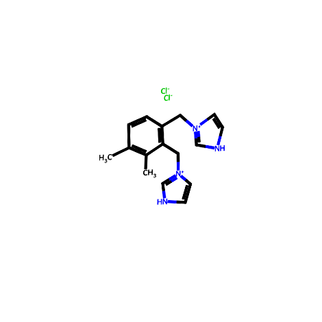 Cc1ccc(C[n+]2cc[nH]c2)c(C[n+]2cc[nH]c2)c1C.[Cl-].[Cl-]